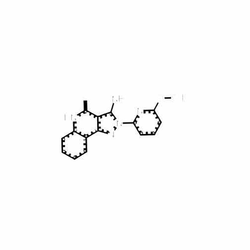 COc1cccc(-n2nc3c(c2N)c(=O)[nH]c2ccccc23)n1